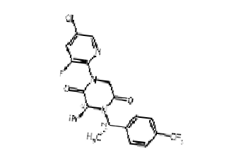 CC(C)[C@H]1C(=O)N(c2ncc(Cl)cc2F)CC(=O)N1[C@@H](C)c1ccc(C(F)(F)F)cc1